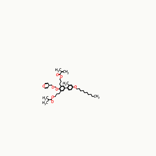 C=C(C)C(=O)OCCCc1cc(-c2ccc(OCCCCCCCCCC)cc2C)cc(CCCOC(=O)C(=C)C)c1OCOCC1C=COC=C1